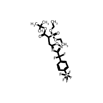 CCOP(=O)(OCC)C(Cc1nc(C(F)(F)c2ccc(S(F)(F)(F)(F)F)cc2)no1)C(=O)OC(C)(C)C